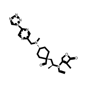 C=CN(C1=C(C)C(=O)OC1)[C@@H](C)C[C@]1(C=O)CC[C@@H](N(C)Cc2cnc(-n3cnnn3)cn2)CC1